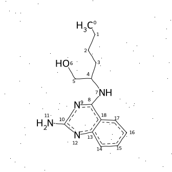 CCCCC(CO)Nc1nc(N)nc2ccccc12